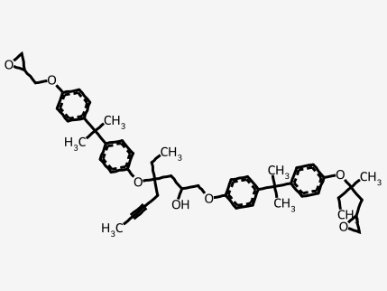 CC#CCC(CC)(CC(O)COc1ccc(C(C)(C)c2ccc(OC(C)(CC)CC3CO3)cc2)cc1)Oc1ccc(C(C)(C)c2ccc(OCC3CO3)cc2)cc1